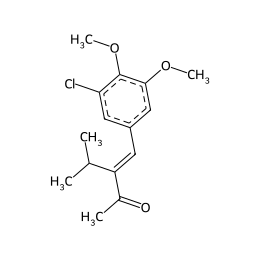 COc1cc(/C=C(/C(C)=O)C(C)C)cc(Cl)c1OC